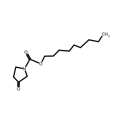 CCCCCCCCCOC(=O)N1CCC(=O)C1